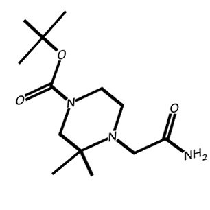 CC(C)(C)OC(=O)N1CCN(CC(N)=O)C(C)(C)C1